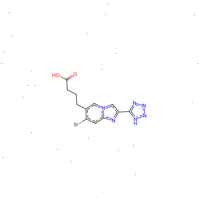 O=C(O)CCCc1cn2cc(-c3nnn[nH]3)nc2cc1Br